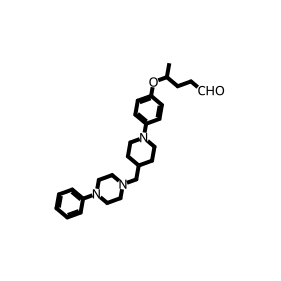 CC(CCC=O)Oc1ccc(N2CCC(CN3CCN(c4ccccc4)CC3)CC2)cc1